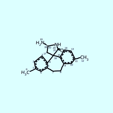 Cc1ccc2c(c1)CCc1cc(C)ccc1C21C[C@@H](N)NC1=O